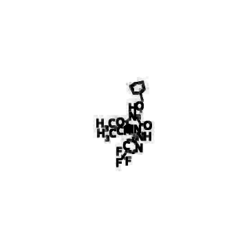 CC(C)(C)OC(=O)N[C@H](COCc1ccccc1)C(=O)NNc1ccc(C(F)(F)F)cn1